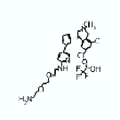 CN1Cc2c(Cl)cc(Cl)cc2[C@H](c2cccc(-c3ccc(NCCOCCOCCN)nc3)c2)C1.O=C(O)C(F)(F)F